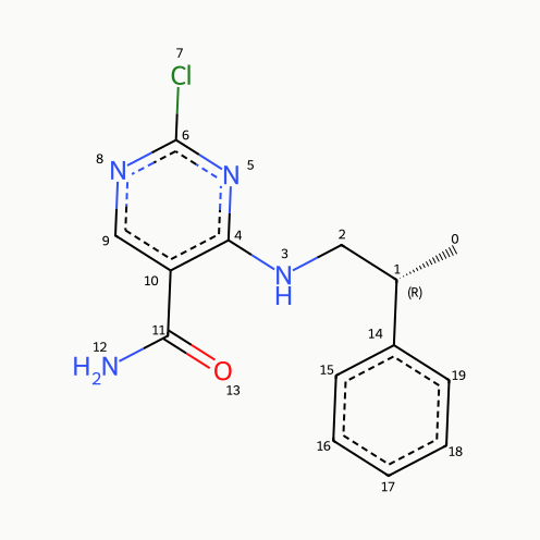 C[C@@H](CNc1nc(Cl)ncc1C(N)=O)c1ccccc1